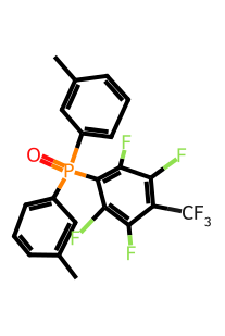 Cc1cccc(P(=O)(c2cccc(C)c2)c2c(F)c(F)c(C(F)(F)F)c(F)c2F)c1